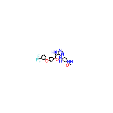 CC(=O)N[C@H]1CC[C@@H](Nc2ncnc3[nH]cc(C(=O)c4ccc(Oc5cccc(C(F)(F)F)c5)cc4)c23)CC1